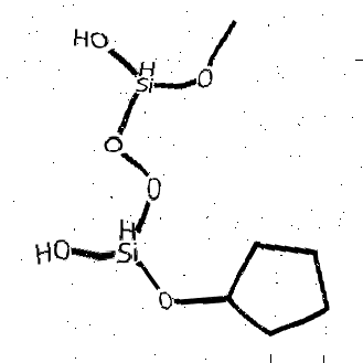 CO[SiH](O)OO[SiH](O)OC1CCCC1